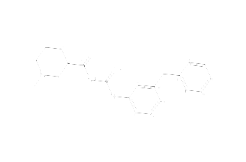 CN1CCCC(C(=O)NC(=S)Nc2cccc(Cc3ccccc3)c2)C1